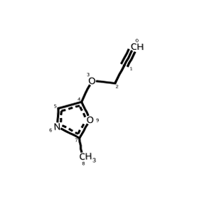 C#CCOc1cnc(C)o1